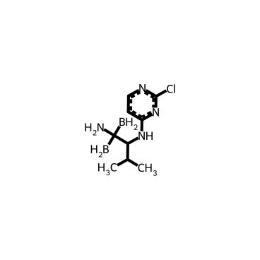 BC(B)(N)C(Nc1ccnc(Cl)n1)C(C)C